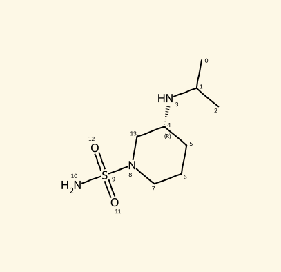 CC(C)N[C@@H]1CCCN(S(N)(=O)=O)C1